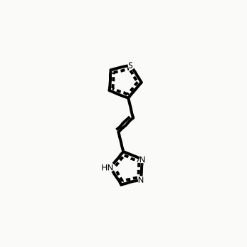 C(=Cc1nnc[nH]1)c1ccsc1